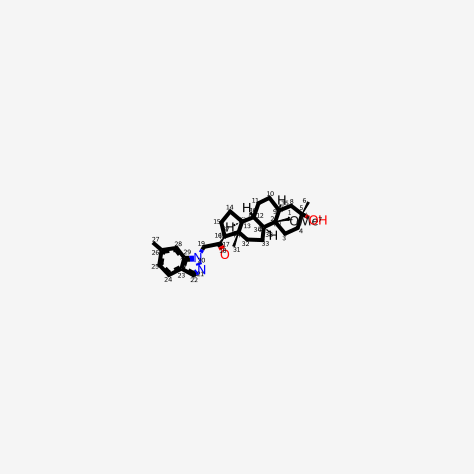 COC[C@]12CC[C@@](C)(O)C[C@@H]1CC[C@H]1[C@@H]3CC[C@H](C(=O)Cn4ncc5ccc(C)cc54)[C@@]3(C)CC[C@@H]12